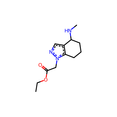 CCOC(=O)Cn1ncc2c1CCCC2NC